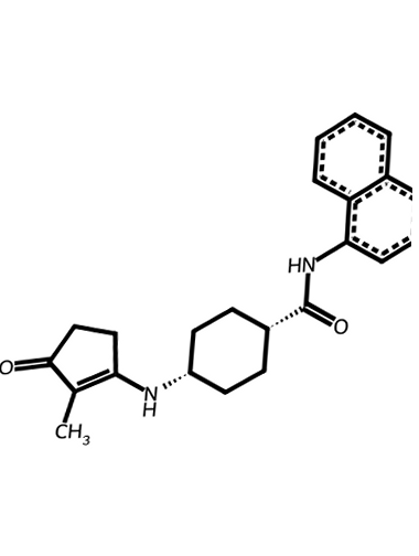 CC1=C(N[C@H]2CC[C@@H](C(=O)Nc3cccc4ccccc34)CC2)CCC1=O